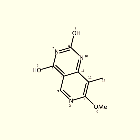 COc1ncc2c(O)nc(O)nc2c1C